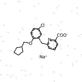 O=C([O-])c1cccc(Cc2cc(Cl)ccc2OCC2CCCC2)n1.[Na+]